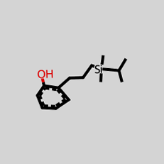 CC(C)[Si](C)(C)CCCc1ccccc1O